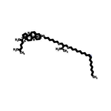 CCCCCCCC/C=C\CCCCCCCCOCC(COCCCCCCO[C@H]1CC[C@@]2(C)C(=CC[C@H]3[C@@H]4CC[C@H](C(C)CCCC(C)C)[C@@]4(C)CC[C@@H]32)C1)N(C)C